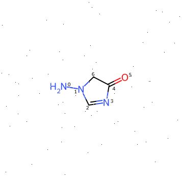 NN1C=NC(=O)C1